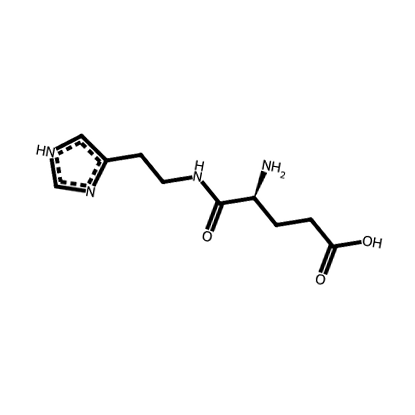 N[C@@H](CCC(=O)O)C(=O)NCCc1c[nH]cn1